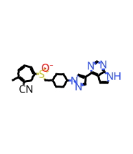 CC1=C(C#N)CC([S+]([O-])CC2CCC(n3cc(-c4ncnc5[nH]ccc45)cn3)CC2)=CC=C1